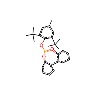 Cc1cc(C(C)(C)C)c(Op2oc3ccccc3c3ccccc3o2)c(C(C)(C)C)c1